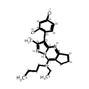 CCCCN(CC)c1c2c(nc3c(-c4ccc(Cl)cc4Cl)c(C)nn13)CCC2